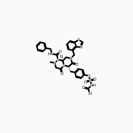 CCC(=O)NS(=O)(=O)Oc1ccc(C[C@H]2C(=O)N(Cc3cccc4scnc34)C[C@H]3N2C(=O)CN(C)N3C(=O)NCc2ccccc2)cc1